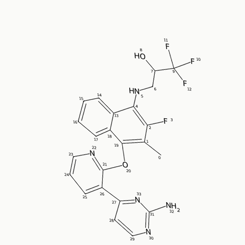 Cc1c(F)c(NCC(O)C(F)(F)F)c2ccccc2c1Oc1ncccc1-c1ccnc(N)n1